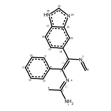 C=N/C(=C(\N=C(/C)N)c1ccccc1)c1ccc2[nH]cnc2c1